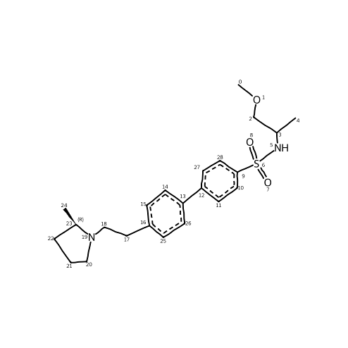 COCC(C)NS(=O)(=O)c1ccc(-c2ccc(CCN3CCC[C@H]3C)cc2)cc1